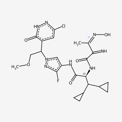 COCC(c1cc(Cl)n[nH]c1=O)n1cc(NC(=O)[C@@H](NC(=O)C(=N)/C(C)=N\O)C(C2CC2)C2CC2)c(F)n1